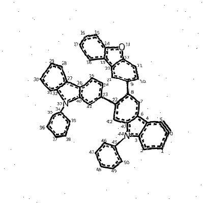 c1ccc2c(c#1)c1cc(-c3ccc4oc5ccccc5c4c3)c(-c3ccc4c5ccccc5n(-c5ccccc5)c4c3)cc1n2-c1ccccc1